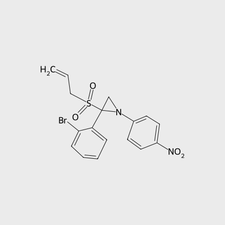 C=CCS(=O)(=O)C1(c2ccccc2Br)CN1c1ccc([N+](=O)[O-])cc1